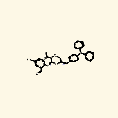 CCN1OC/C(=C\c2ccc(N(c3ccccc3)c3ccccc3)cc2)O/C1=N/c1c(Br)cc(Br)cc1C=O